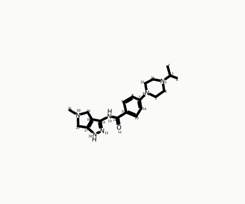 CC(C)N1CCN(c2ccc(C(=O)Nc3n[nH]c4c3CN(C)C4)cc2)CC1